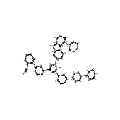 N#Cc1ccccc1-c1cccc(-c2nc(-c3cccc(-c4ccc(-c5ccccc5)cc4)c3)nc(-c3ccc4c(c3)oc3cccc(-c5ccccc5)c34)n2)c1